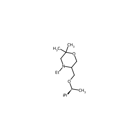 CCN1CC(C)(C)OCC1CO[C@@H](C)C(C)C